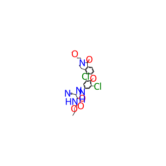 CCOC(=O)NC(=O)C(C#N)=NNc1cc(Cl)c(Oc2ccc3c(c2)CCN(CCOC)C3=O)c(Cl)c1